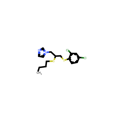 CCCCSC(CSc1ccc(Cl)cc1Cl)Cn1ccnc1